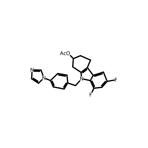 CC(=O)OC1CCc2c(n(Cc3ccc(-n4ccnc4)cc3)c3c(F)cc(F)cc23)C1